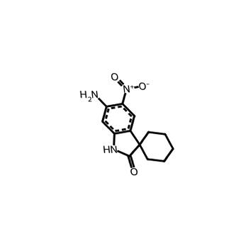 Nc1cc2c(cc1[N+](=O)[O-])C1(CCCCC1)C(=O)N2